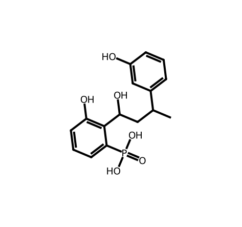 CC(CC(O)c1c(O)cccc1P(=O)(O)O)c1cccc(O)c1